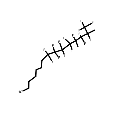 CC(F)(C(F)(F)F)C(F)(F)C(F)(F)C(F)(F)C(F)(F)C(F)(F)C(F)(F)CCCCCCO